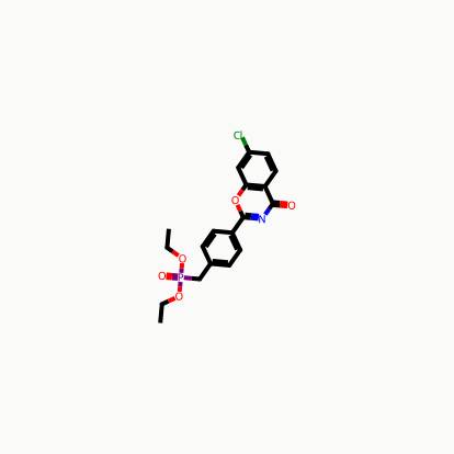 CCOP(=O)(Cc1ccc(-c2nc(=O)c3ccc(Cl)cc3o2)cc1)OCC